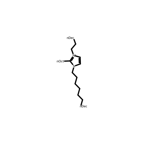 CCCCCCCCCCCCCCCCn1cc[n+](CCCCCCCCCCCC)c1CCCCCCCC